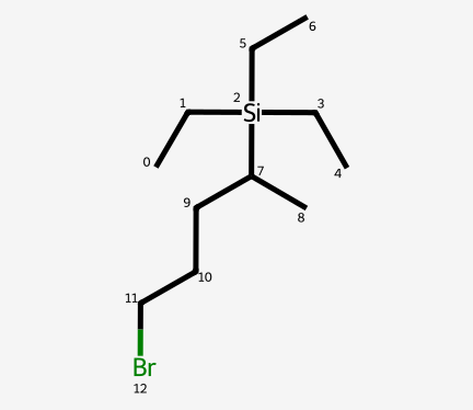 CC[Si](CC)(CC)C(C)CCCBr